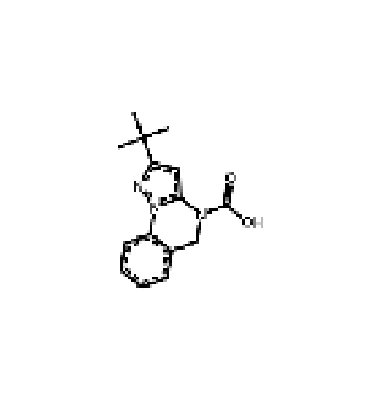 CC(C)(C)c1cc2n(n1)-c1ccccc1CN2C(=O)O